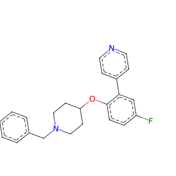 Fc1ccc(OC2CCN(Cc3ccccc3)CC2)c(-c2ccncc2)c1